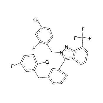 Fc1ccc(Cl)c(Cc2cccc(-c3c4cccc(C(F)(F)F)c4nn3Cc3ccc(Cl)cc3F)c2)c1